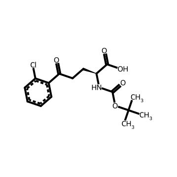 CC(C)(C)OC(=O)N[C@@H](CCC(=O)c1ccccc1Cl)C(=O)O